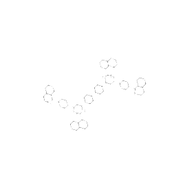 c1ccc2c(-c3nc(-c4ccc(-c5ccc(-c6cc(-c7ccc(-c8nccc9ccccc89)cc7)nc(-c7cccc8ccccc78)n6)cc5)cc4)cc(-c4ccc(-c5nccc6ccccc56)cc4)n3)cccc2c1